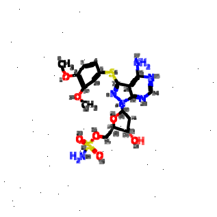 COc1ccc(Sc2nn([C@H]3C[C@H](O)[C@@H](COS(N)(=O)=O)O3)c3ncnc(N)c23)cc1OC